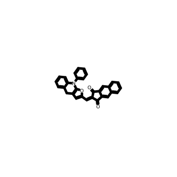 O=C1C(=Cc2cc3c(o2)N(c2ccccc2)c2ccccc2C3)C(=O)c2cc3ccccc3cc21